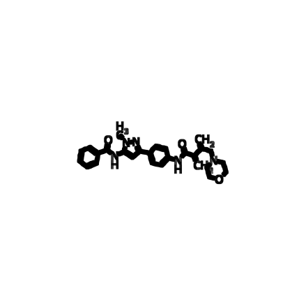 C=C(CN1CCOCC1)C(=C)C(=O)Nc1ccc(-c2cc(NC(=O)c3ccccc3)n(C)n2)cc1